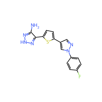 Nc1n[nH]nc1-c1ccc(-c2cnn(-c3ccc(F)cc3)c2)s1